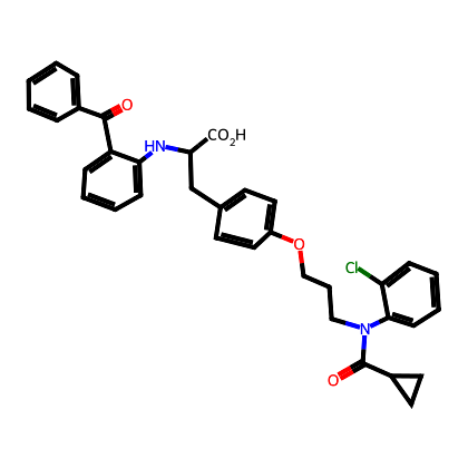 O=C(c1ccccc1)c1ccccc1NC(Cc1ccc(OCCCN(C(=O)C2CC2)c2ccccc2Cl)cc1)C(=O)O